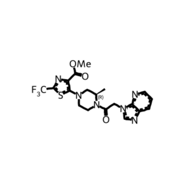 COC(=O)c1nc(C(F)(F)F)sc1N1CCN(C(=O)Cn2cnc3cccnc32)[C@H](C)C1